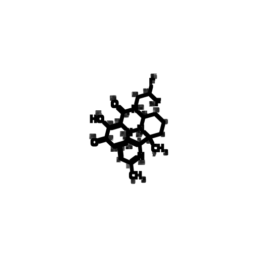 Cc1cccc(C2(C)CCCC3N(CC(F)F)C(=O)c4c(O)c(=O)ccn4N32)n1